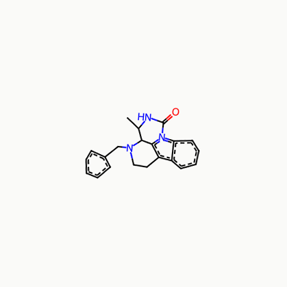 CC1NC(=O)n2c3c(c4ccccc42)CCN(Cc2ccccc2)C31